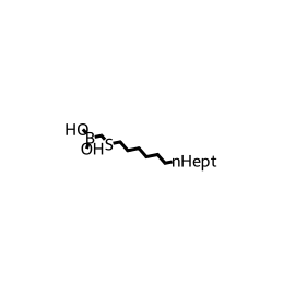 CCCCCCCCCCCCCSCB(O)O